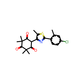 Cc1cc(Cl)ccc1-c1nc(C2C(=O)C(C)(C)C(=O)C(C)(C)C2=O)c(C)s1